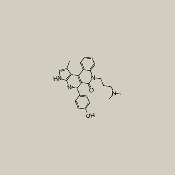 Cc1c[nH]c2nc(-c3ccc(O)cc3)c3c(=O)n(CCCN(C)C)c4ccccc4c3c12